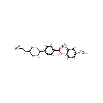 CCCCCCCCc1ccc(OC(=O)c2ccc(C3CCC(CCC(C)C)CC3)cc2)c(C#N)c1